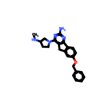 CNC1CCN(c2nc(N)nc3c2Cc2cc(OCc4ccccc4)ccc2-3)C1